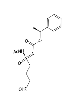 CC(=O)N[S@](=O)(CCCC=O)=NC(=O)O[C@@H](C)c1ccccc1